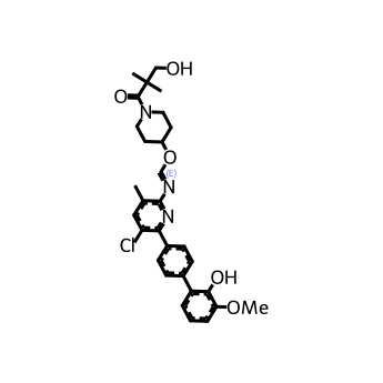 COc1cccc(-c2ccc(-c3nc(/N=C/OC4CCN(C(=O)C(C)(C)CO)CC4)c(C)cc3Cl)cc2)c1O